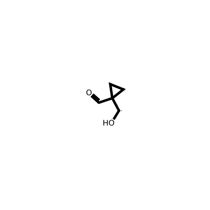 O=CC1([CH]O)CC1